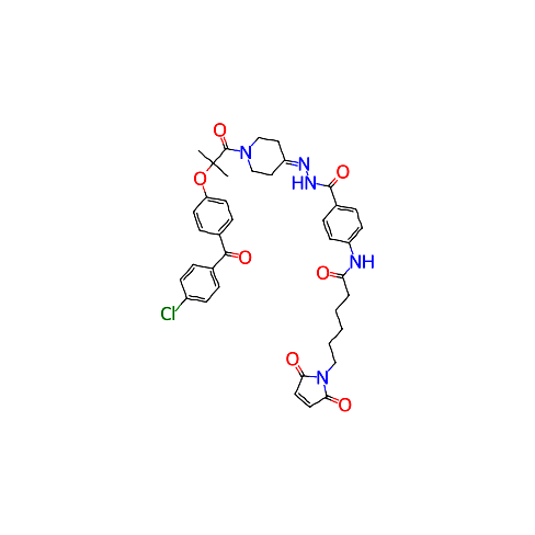 CC(C)(Oc1ccc(C(=O)c2ccc(Cl)cc2)cc1)C(=O)N1CCC(=NNC(=O)c2ccc(NC(=O)CCCCCN3C(=O)C=CC3=O)cc2)CC1